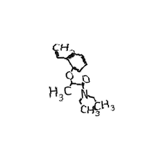 C=Cc1ccccc1OC(C)C(=O)N(CC)CC